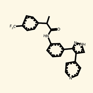 CC(C(=O)Nc1cccc(-c2n[nH]cc2-c2ccncc2)c1)c1ccc(C(F)(F)F)cc1